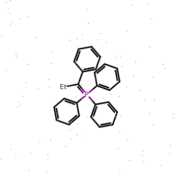 CCC(c1ccccc1)=P(c1ccccc1)(c1ccccc1)c1ccccc1